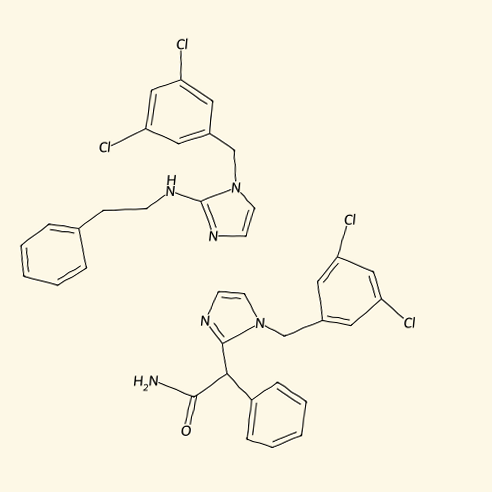 Clc1cc(Cl)cc(Cn2ccnc2NCCc2ccccc2)c1.NC(=O)C(c1ccccc1)c1nccn1Cc1cc(Cl)cc(Cl)c1